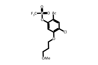 COCCCOc1cc(OS(=O)(=O)C(F)(F)F)c(C(C)=O)cc1Cl